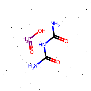 NC(=O)NC(N)=O.O=[PH2]O